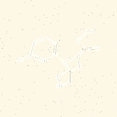 CC(C)(C)OC(=O)N1CC2(CNC2)C1c1cccc(C#N)n1